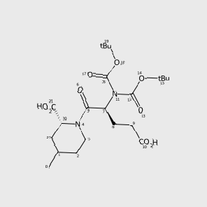 CC1CCN(C(=O)[C@H](CCC(=O)O)N(C(=O)OC(C)(C)C)C(=O)OC(C)(C)C)[C@@H](C(=O)O)C1